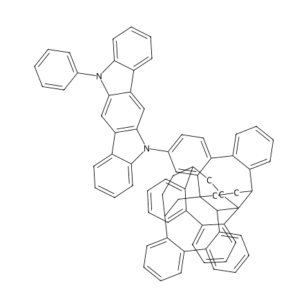 c1ccc(-n2c3ccccc3c3cc4c(cc32)c2ccccc2n4-c2ccc3c(c2)C24CCC(c5ccccc5-3)C35CCC(CCC(C2)c2ccccc2-c2ccccc2C43)c2ccccc2-c2ccccc25)cc1